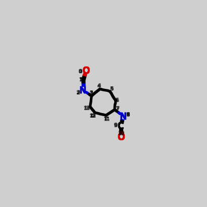 O=C=NC1CCCC(N=C=O)CCC1